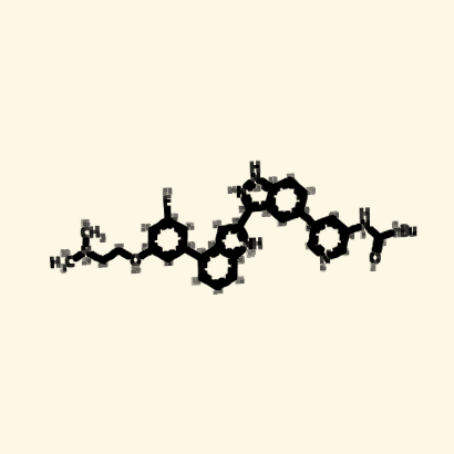 CCCCC(=O)Nc1cncc(-c2ccc3[nH]nc(-c4cc5c(-c6cc(F)cc(OCCN(C)C)c6)cccc5[nH]4)c3c2)c1